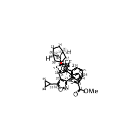 COC(=O)c1ccc(-c2csc(N3[C@@H]4CC[C@H]3CC(OCc3c(-c5ccccc5OC(F)(F)F)noc3C3CC3)C4)n2)s1